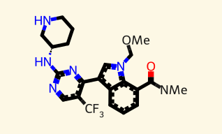 CNC(=O)c1cccc2c(-c3nc(N[C@H]4CCCNC4)ncc3C(F)(F)F)cn(COC)c12